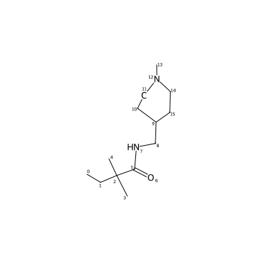 CCC(C)(C)C(=O)NCC1CCN(C)CC1